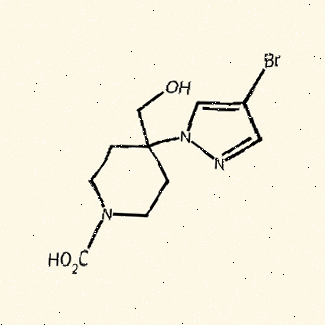 O=C(O)N1CCC(CO)(n2cc(Br)cn2)CC1